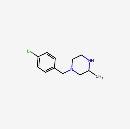 CC1CN(Cc2ccc(Cl)cc2)CCN1